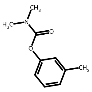 Cc1cccc(OC(=O)N(C)C)c1